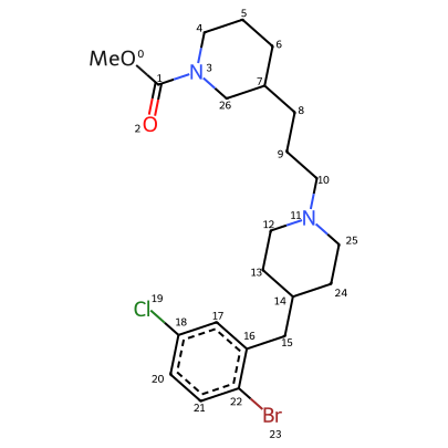 COC(=O)N1CCCC(CCCN2CCC(Cc3cc(Cl)ccc3Br)CC2)C1